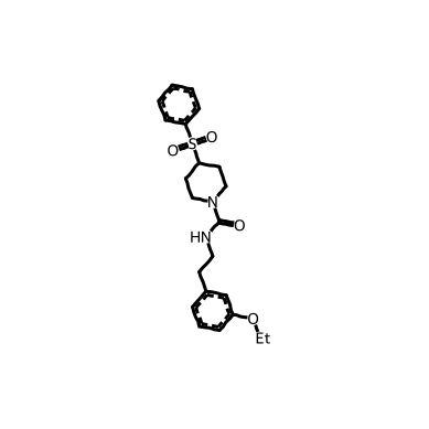 CCOc1cccc(CCNC(=O)N2CCC(S(=O)(=O)c3ccccc3)CC2)c1